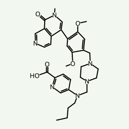 CCCCN(CN1CCN(Cc2cc(OC)c(-c3cn(C)c(=O)c4cnccc34)cc2OC)CC1)c1ccc(C(=O)O)nc1